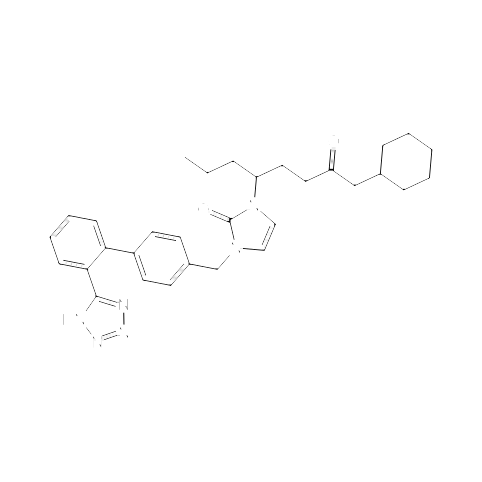 CCCC(CCC(=O)CC1CCCCC1)n1ccn(Cc2ccc(-c3ccccc3-c3nnn[nH]3)cc2)c1=O